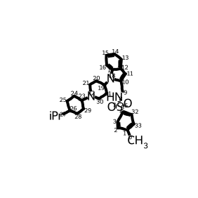 Cc1ccc(S(=O)(=O)NCc2cc3ccccc3n2C2CCN(C3CCC(C(C)C)CC3)CC2)cc1